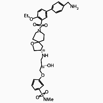 CCOc1ccc(-c2ccc(CN)cc2)cc1S(=O)(=O)N1CCC2(CC1)C[C@H](NC[C@H](O)COc1cccc(S(=O)(=O)NC)c1)CO2